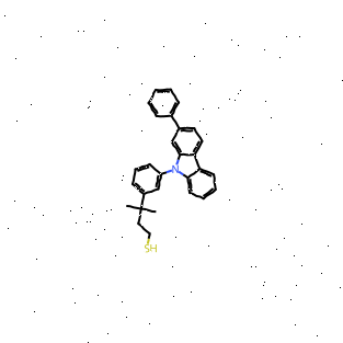 CC(C)(CCS)c1cccc(-n2c3ccccc3c3ccc(-c4ccccc4)cc32)c1